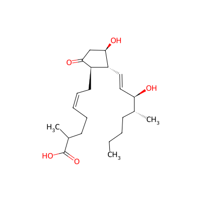 CCCC[C@@H](C)[C@H](O)/C=C/[C@H]1[C@H](O)CC(=O)[C@@H]1C/C=C\CCC(C)C(=O)O